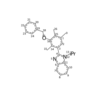 Cc1cc(-c2nc3ccccc3n2C(C)C)c(C)c(OCc2ccccc2)c1C